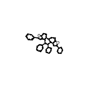 c1ccc(-c2cc3c(ccc4c5ccc6oc(-c7ccccc7)cc6c5c(-c5ccccc5)c(-c5ccccc5)c34)o2)cc1